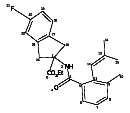 CCOC(=O)C1(NC(=O)c2cccc(C)c2C=C(C)C)Cc2ccc(F)cc2C1